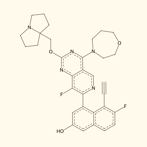 C#Cc1c(F)ccc2cc(O)cc(-c3ncc4c(N5CCCOCC5)nc(OCC56CCCN5CCC6)nc4c3F)c12